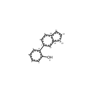 Oc1c[c]ccc1-c1ccc2ccsc2c1